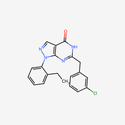 CCc1ccccc1-n1ncc2c(=O)[nH]c(Cc3cccc(Cl)c3)nc21